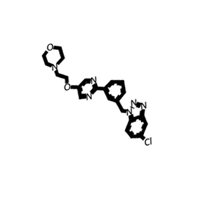 Clc1ccc2c(c1)nnn2Cc1cccc(-c2ncc(OCCN3CCOCC3)cn2)c1